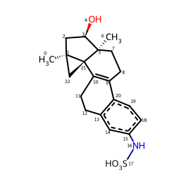 C[C@]12C[C@@H](O)[C@@]3(C)CCC4=C(CCc5cc(NS(=O)(=O)O)ccc54)[C@]13C2